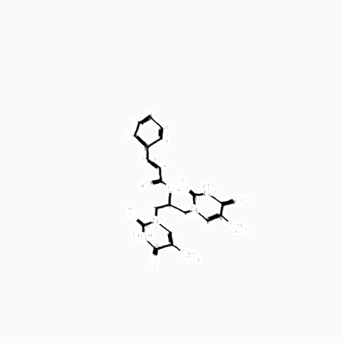 Cc1cn(CC(Cn2cc(C)c(=O)[nH]c2=O)OC(=O)/C=C/c2ccccc2)c(=O)[nH]c1=O